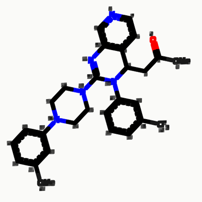 COC(=O)CC1c2ccncc2N=C(N2CCN(c3cccc(OC)c3)CC2)N1c1cccc(C(F)(F)F)c1